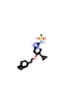 CS(=O)(=O)Nc1nnc2cc(OCCC3=C4C5CC4C5=CC3)c(C3CC3)cn12